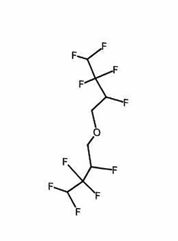 FC(F)C(F)(F)C(F)COCC(F)C(F)(F)C(F)F